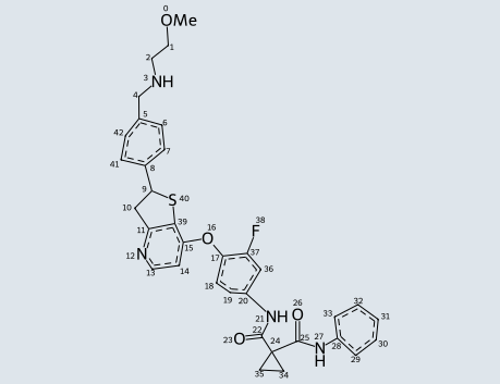 COCCNCc1ccc(C2Cc3nccc(Oc4ccc(NC(=O)C5(C(=O)Nc6ccccc6)CC5)cc4F)c3S2)cc1